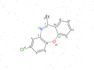 CCC1=Nc2cc(Cl)ccc2Oc2ccccc21